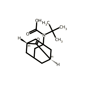 CC(C)(C)N(C(=O)O)C12CC3C[C@H](C1)C(=O)[C@H](C3)C2